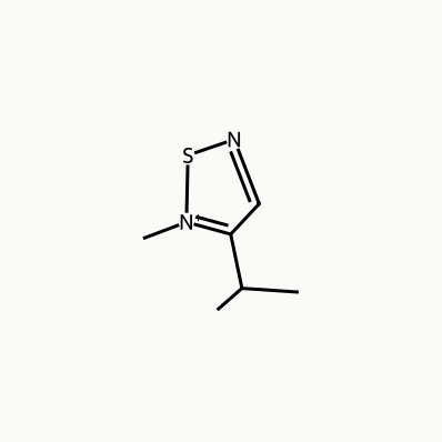 CC(C)c1cns[n+]1C